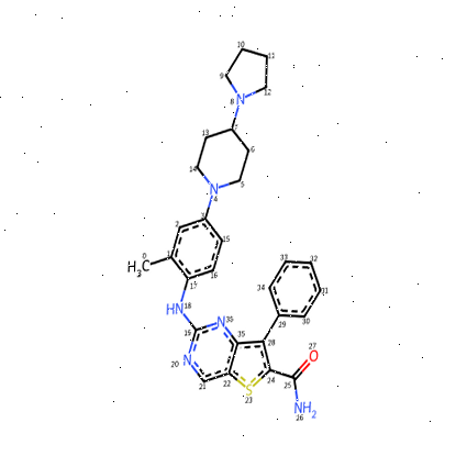 Cc1cc(N2CCC(N3CCCC3)CC2)ccc1Nc1ncc2sc(C(N)=O)c(-c3ccccc3)c2n1